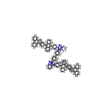 c1ccc2c(c1)nc(-c1ccc(-c3c4ccccc4c(-c4ccc5c(c4)sc4c6ccccc6c6ccccc6c54)c4ccccc34)cc1)n2-c1ccc(-c2ccc(-c3nc4ccccc4n3-c3ccc(-c4c5ccccc5c(-c5ccc6c(c5)sc5c7ccccc7c7ccccc7c65)c5ccccc45)cc3)cc2)cc1